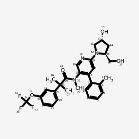 Cc1ccccc1-c1cc(N2C[C@H](O)C[C@H]2CO)ncc1N(C)C(=O)C(C)(C)c1cccc(OC(F)(F)F)c1